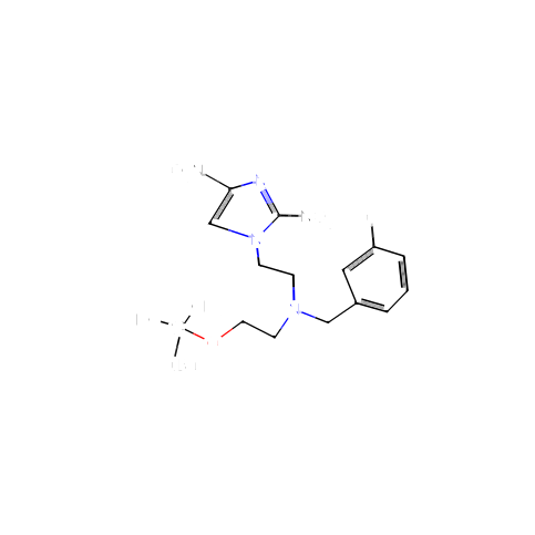 CC(C)(C)[Si](C)(C)OCCN(CCn1cc([N+](=O)[O-])nc1[N+](=O)[O-])Cc1cccc(C(F)(F)F)c1